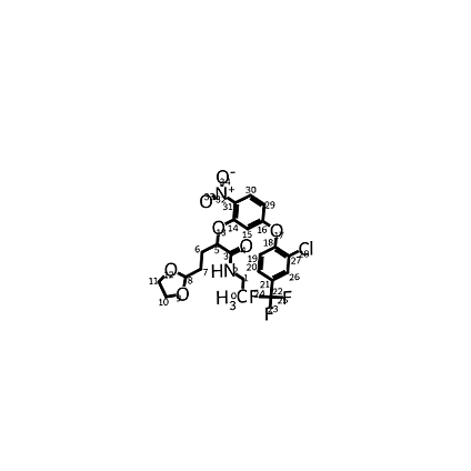 CCNC(=O)C(CCC1OCCO1)Oc1cc(Oc2ccc(C(F)(F)F)cc2Cl)ccc1[N+](=O)[O-]